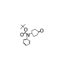 CC(C)(C)OC(=O)N(c1ccccc1)C1CCC(=O)CC1